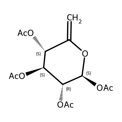 C=C1O[C@@H](OC(C)=O)[C@H](OC(C)=O)[C@@H](OC(C)=O)[C@@H]1OC(C)=O